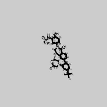 C[C@@H]1CN(c2cc(C(C)(C)C)ccc2-c2ccc3c(c2)CCN(c2ccc(O)c(NS(C)(=O)=O)c2)C3=O)C[C@@H](C)O1